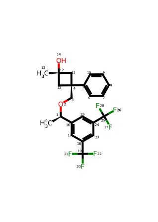 C[C@@H](OC[C@]1(c2ccccc2)C[C@@](C)(O)C1)c1cc(C(F)(F)F)cc(C(F)(F)F)c1